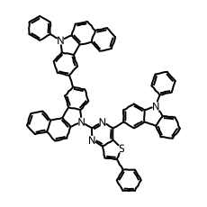 c1ccc(-c2cc3nc(-n4c5ccc(-c6ccc7c(c6)c6c8ccccc8ccc6n7-c6ccccc6)cc5c5c6ccccc6ccc54)nc(-c4ccc5c(c4)c4ccccc4n5-c4ccccc4)c3s2)cc1